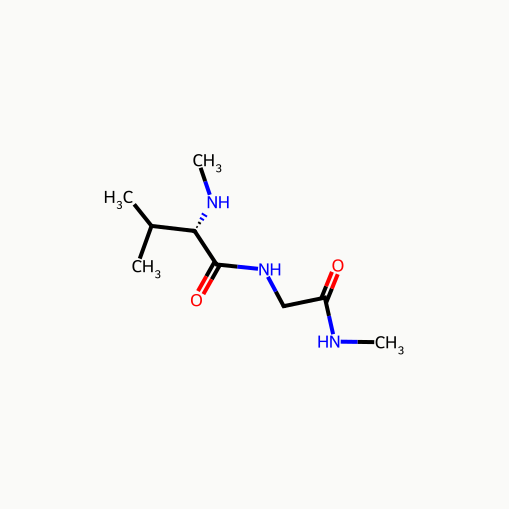 CNC(=O)CNC(=O)[C@@H](NC)C(C)C